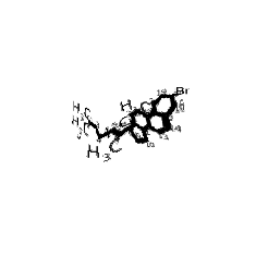 CC(C)CCC[C@@H](C)C1CCC2C3CC=C4CC(Br)CCC4(C)C3CCC21C